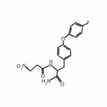 NC(=O)C(Cc1ccc(Oc2ccc(F)cc2)cc1)NC(=O)CC[N+](=O)[O-]